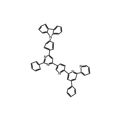 c1ccc(-c2cc(-c3ccccn3)nc(-c3ccc(-c4cc(-c5ccc(-n6c7ccccc7c7ccccc76)cc5)nc(-c5ccccc5)n4)cn3)c2)cc1